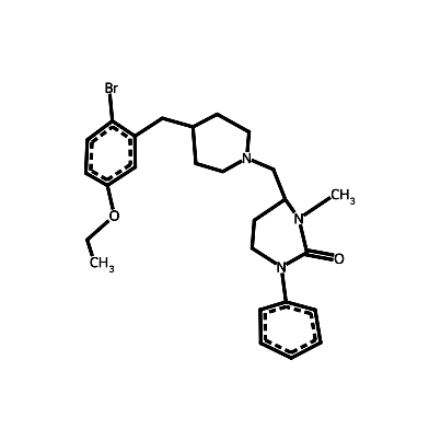 CCOc1ccc(Br)c(CC2CCN(CC3CCN(c4ccccc4)C(=O)N3C)CC2)c1